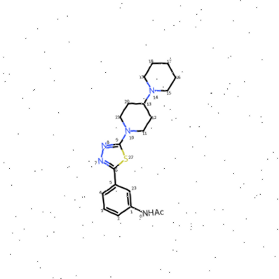 CC(=O)Nc1cccc(-c2nnc(N3CCC(N4CCCCC4)CC3)s2)c1